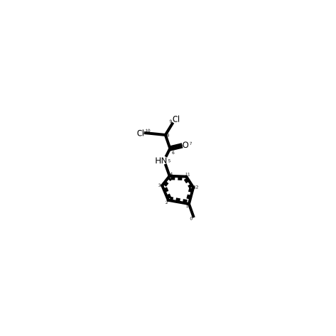 Cc1ccc(NC(=O)C(Cl)Cl)cc1